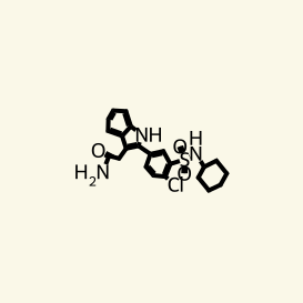 NC(=O)Cc1c(-c2ccc(Cl)c(S(=O)(=O)NC3CCCCC3)c2)[nH]c2ccccc12